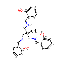 CC(CN=Cc1ccccc1O)(CN=Cc1ccccc1O)CN=Cc1ccccc1O